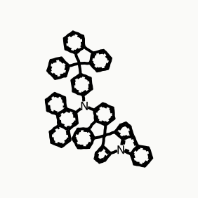 c1ccc(C2(c3ccc(N(c4cccc5c4-c4ccccc4C54c5ccccc5-n5c6ccccc6c6cccc4c65)c4cc5ccccc5c5ccccc45)cc3)c3ccccc3-c3ccccc32)cc1